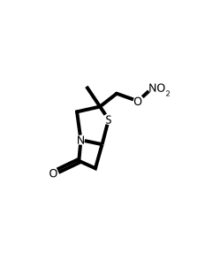 CC1(CO[N+](=O)[O-])CN2C(=O)CC2S1